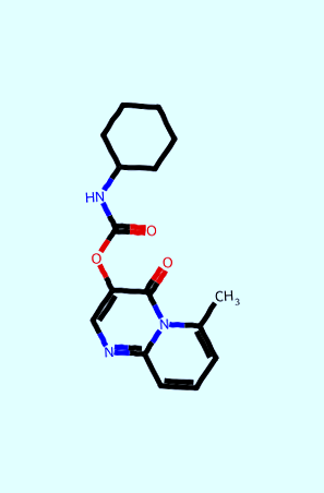 Cc1cccc2ncc(OC(=O)NC3CCCCC3)c(=O)n12